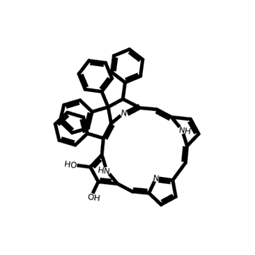 Oc1c(O)c2[nH]c1cc1nc(cc3ccc(cc4nc(c2-c2ccccc2)C(c2ccccc2)(c2ccccc2)C4c2ccccc2)[nH]3)C=C1